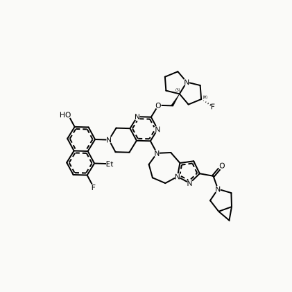 CCc1c(F)ccc2cc(O)cc(N3CCc4c(nc(OC[C@@]56CCCN5C[C@H](F)C6)nc4N4CCCn5nc(C(=O)N6CC7CC7C6)cc5C4)C3)c12